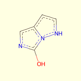 Oc1ncc2cc[nH]n12